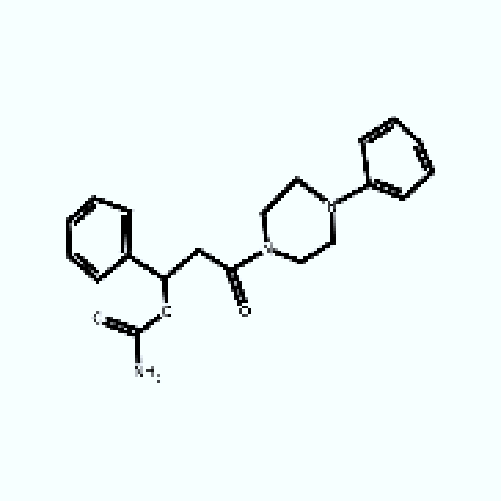 NC(=O)OC(CC(=O)N1CCN(c2cc[c]cc2)CC1)c1ccccc1